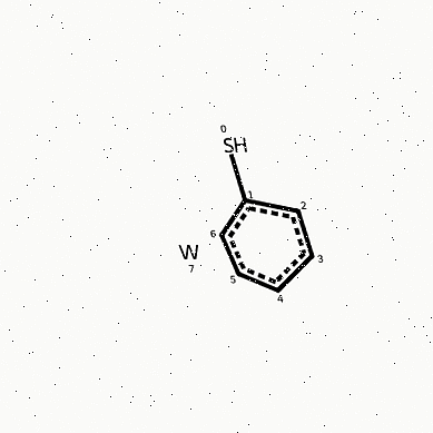 Sc1ccccc1.[W]